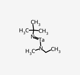 CC[N](C)[Ta]=[N]C(C)(C)C